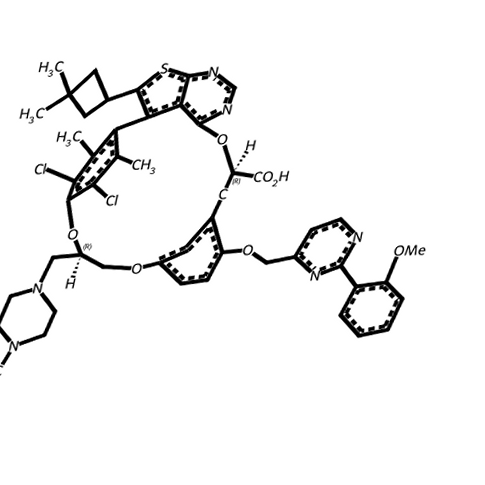 COc1ccccc1-c1nccc(COc2ccc3cc2C[C@H](C(=O)O)Oc2ncnc4sc(C5CC(C)(C)C5)c(c24)-c2c(C)c(Cl)c(c(Cl)c2C)O[C@H](CN2CCN(C)CC2)CO3)n1